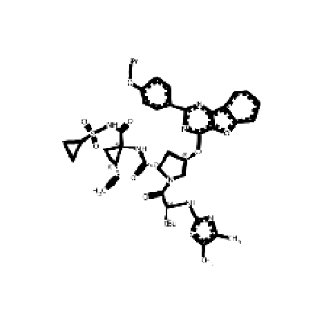 C=C[C@@H]1C[C@]1(NC(=O)[C@@H]1C[C@@H](Oc2nc(-c3ccc(OC(C)C)cc3)nc3c2oc2ccccc23)CN1C(=O)[C@@H](Nc1nc(C)c(C)s1)C(C)(C)C)C(=O)NS(=O)(=O)C1CC1